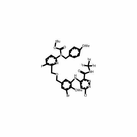 [2H]C([2H])([2H])NC(=O)c1nnc(Cl)cc1Nc1cc(COCc2nc(N(Cc3ccc(OC)cc3)C(=O)OC(C)(C)C)ccc2F)cc(Br)c1OC